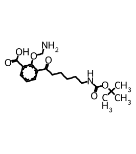 CC(C)(C)OC(=O)NCCCCCC(=O)c1cccc(C(=O)O)c1OCN